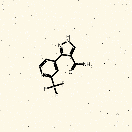 NC(=O)c1c[nH]nc1-c1ccnc(C(F)(F)F)c1